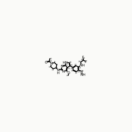 COc1nc(NC2CCN(C(C)=O)CC2)nc2[nH]cc(-c3ccc(N=N)c(NCC(F)F)c3)c12